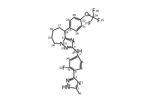 Cc1nc(-c2ccc(Nc3nc4n(n3)CCCCC4c3ccc(OC(F)(F)F)cc3)cc2F)n[nH]1